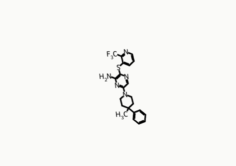 CC1(c2ccccc2)CCN(c2cnc(Sc3cccnc3C(F)(F)F)c(N)n2)CC1